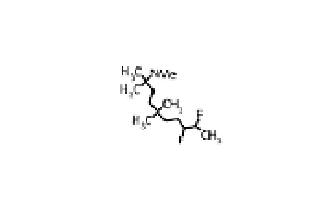 CNC(C)(C)CCC(C)(C)CCC(F)C(C)F